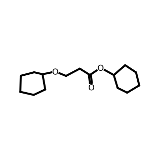 O=C(CCOC1CCCCC1)OC1CCCCC1